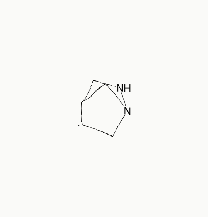 [CH]1CN2CC1CN2